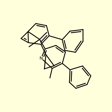 Cc1nc(C(C)(C)C23C=CC(c4ccccc4)=C(C4CC4)C2=C3)ccc1-c1ccccc1